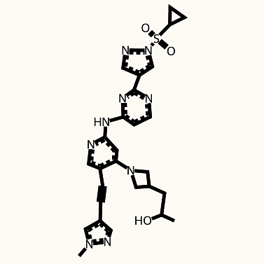 CC(O)CC1CN(c2cc(Nc3ccnc(-c4cnn(S(=O)(=O)C5CC5)c4)n3)ncc2C#Cc2cnn(C)c2)C1